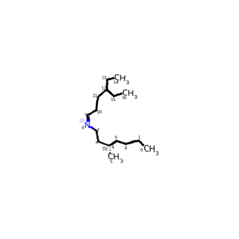 CCCC[C@H](C)CC/N=C\CCC(CC)CC